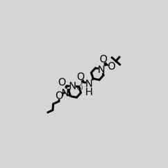 CCCCON1C(=O)N2CC1CC[C@H]2C(=O)NC1CCN(C(=O)OC(C)(C)C)CC1